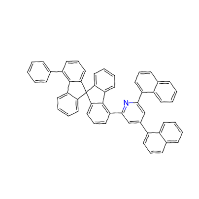 c1ccc(-c2cccc3c2-c2ccccc2C32c3ccccc3-c3c(-c4cc(-c5cccc6ccccc56)cc(-c5cccc6ccccc56)n4)cccc32)cc1